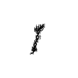 CCc1cnc(N2CCC(ON=C3CCC(c4ccc(NC(=O)NC(C)C)c(F)c4)CC3)CC2)nc1